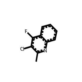 Cc1nc2ccccc2c(F)c1Cl